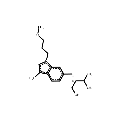 COCCCn1cc(C)c2ccc(C[C@@H](CO)C(C)C)cc21